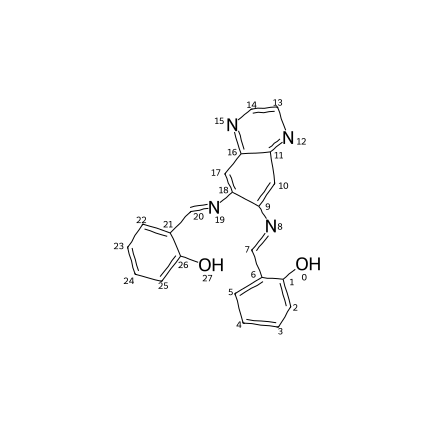 Oc1ccccc1/C=N/c1cc2nccnc2cc1/N=C/c1ccccc1O